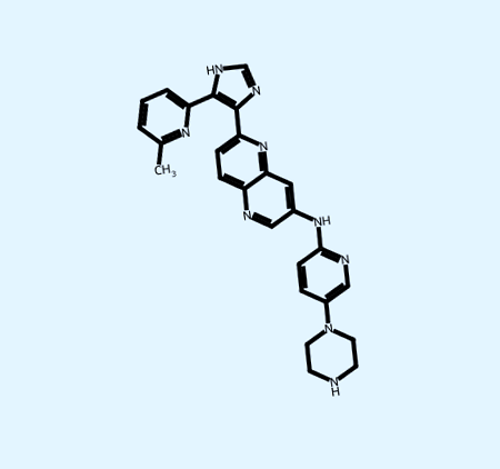 Cc1cccc(-c2[nH]cnc2-c2ccc3ncc(Nc4ccc(N5CCNCC5)cn4)cc3n2)n1